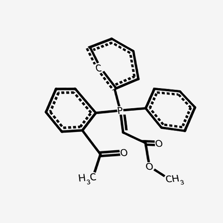 COC(=O)C=P(c1ccccc1)(c1ccccc1)c1ccccc1C(C)=O